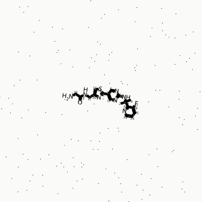 CC(C)(Nc1ncc(-c2nc(CNC(=O)CN)cs2)cn1)c1ncccc1F